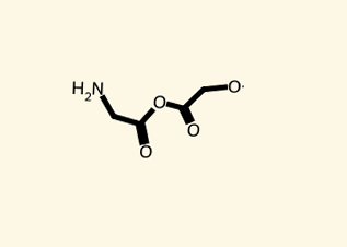 NCC(=O)OC(=O)C[O]